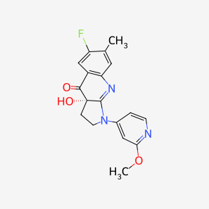 COc1cc(N2CC[C@@]3(O)C(=O)c4cc(F)c(C)cc4N=C23)ccn1